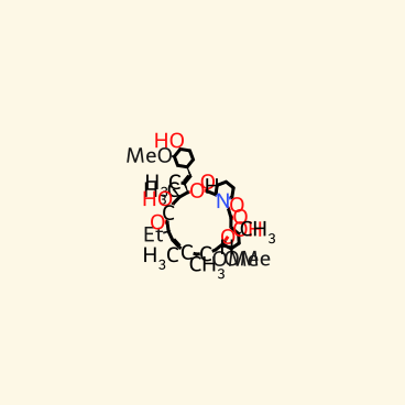 CC[C@@H]1/C=C(/C)C[C@H](C)C[C@H](OC)[C@H]2O[C@@](O)(C(=O)C(=O)N3CCCC[C@H]3C(=O)O[C@H](/C(C)=C/[C@@H]3CC[C@@H](O)[C@H](OC)C3)[C@H](C)[C@@H](O)CC1=O)[C@H](C)C[C@@H]2OC